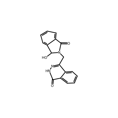 O=C1c2ccccc2C(O)N1Cc1n[nH]c(=O)c2ccccc12